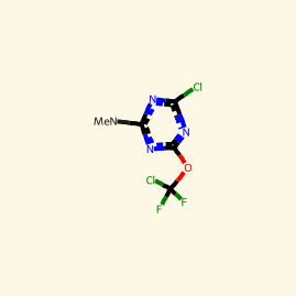 CNc1nc(Cl)nc(OC(F)(F)Cl)n1